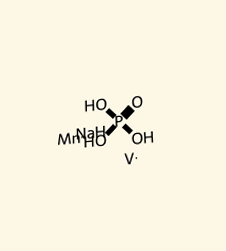 O=P(O)(O)O.[Mn].[NaH].[V]